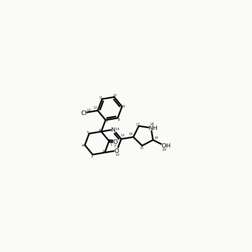 O=C1C2CCCC1(c1ccccc1Cl)N=C(C1CNC(O)C1)O2